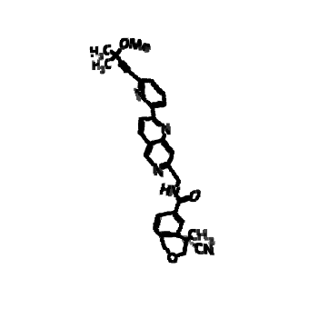 COC(C)(C)C#Cc1cccc(-c2ccc3cnc(CNC(=O)c4ccc5c(c4)[C@](C)(C#N)COC5)cc3n2)n1